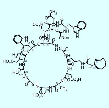 CCCCCCCCCC(=O)N[C@@H](Cc1c[nH]c2ccccc12)C(=O)N[C@H](CC(N)=O)C(=O)N[C@@H](CC(=O)O)C(=O)N[C@@H]1C(=O)NCC(=O)N[C@@H](CCCNC(=O)OC2=C/CCCC\C=C\2)C(=O)N[C@@H](CC(=O)O)C(=O)N[C@H](C)C(=O)N[C@@H](CC(=O)O)C(=O)NCC(=O)N[C@H](CO)C(=O)N[C@@H](C(C)CC(=O)O)C(=O)N[C@@H](CC(=O)c2ccccc2N)C(=O)O[C@@H]1C